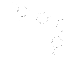 CC(Oc1ccc(Oc2ncc(Cl)cc2F)cc1)C(=O)Nc1ccc(C(F)(F)F)cn1